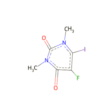 Cn1c(I)c(F)c(=O)n(C)c1=O